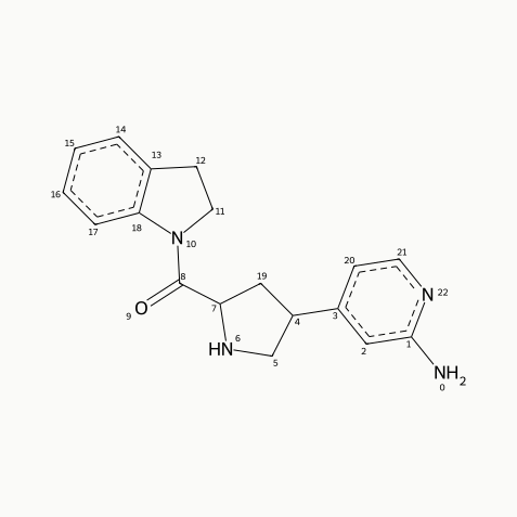 Nc1cc(C2CNC(C(=O)N3CCc4ccccc43)C2)ccn1